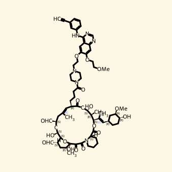 C#Cc1cccc(Nc2ncnc3cc(OCCOC)c(OCCN4CCN(C(=O)CCC[C@@H]5/C=C(\C)C[C@H](C=O)C[C@H](O)[C@H]6O[C@@](O)(C(=O)C(=O)N7CCCC[C@H]7C(=O)O[C@H](/C(C)=C/[C@@H]7CC[C@@H](O)[C@H](OC)C7)[C@H](C)[C@@H](O)CC5=O)[C@H](C)C[C@@H]6C=O)CC4)cc23)c1